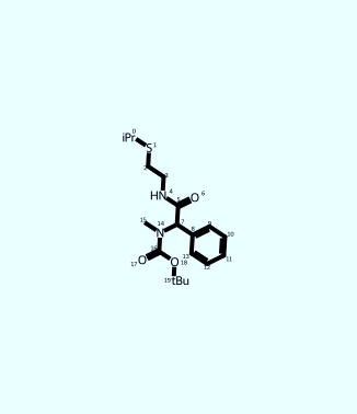 CC(C)SCCNC(=O)C(c1ccccc1)N(C)C(=O)OC(C)(C)C